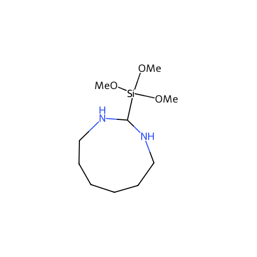 CO[Si](OC)(OC)C1NCCCCCCN1